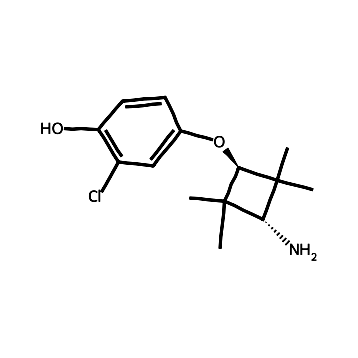 CC1(C)[C@H](N)C(C)(C)[C@H]1Oc1ccc(O)c(Cl)c1